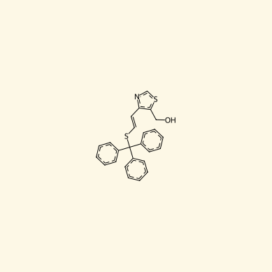 OCc1scnc1C=CSC(c1ccccc1)(c1ccccc1)c1ccccc1